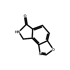 O=C1NCc2c1ccc1ocnc21